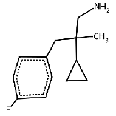 CC(CN)(Cc1ccc(F)cc1)C1CC1